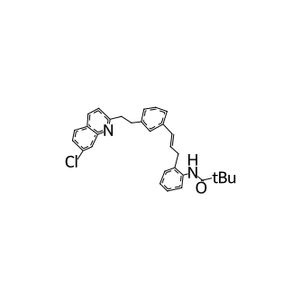 CC(C)(C)C(=O)Nc1ccccc1CC=Cc1cccc(CCc2ccc3ccc(Cl)cc3n2)c1